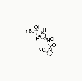 CCCCC1(O)C[C@H]2C[C@@H](N(Cl)CC(=O)N3CCC[C@H]3C#N)C[C@H]2C1